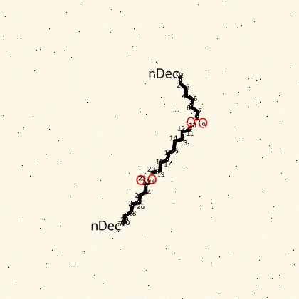 CCCCCCCCCCCCCCCCCC(=O)OCCCCCCCCCCOC(=O)CCCCCCCCCCCCCCCCC